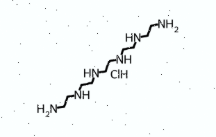 Cl.NCCNCCNCCNCCNCCN